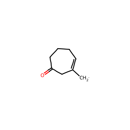 [CH2]C1=CCCCC(=O)C1